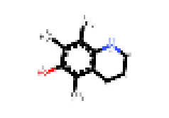 Cc1c(C)c2c(c(C)c1O)CCCN2